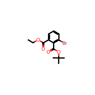 CCOC(=O)c1cccc(Br)c1C(=O)OC(C)(C)C